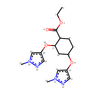 CCOC(=O)C1CCC(Oc2cnn(C)c2)CC1Oc1cnn(C)c1